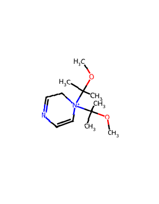 COC(C)(C)[N+]1(C(C)(C)OC)C=CN=CC1